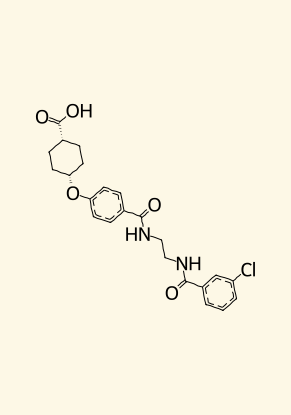 O=C(NCCNC(=O)c1cccc(Cl)c1)c1ccc(O[C@H]2CC[C@@H](C(=O)O)CC2)cc1